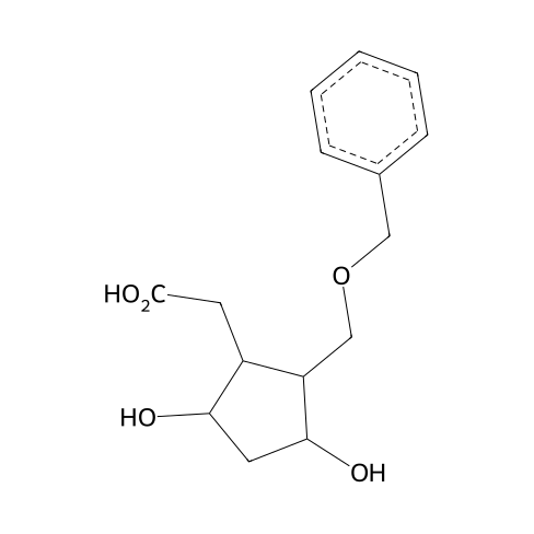 O=C(O)CC1C(O)CC(O)C1COCc1ccccc1